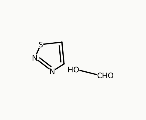 O=CO.c1csnn1